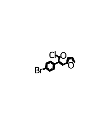 O=C(Cl)C(=Cc1ccco1)c1ccc(Br)cc1